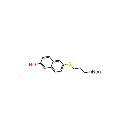 CCCCCCCCCCCCSc1ccc2cc(O)ccc2c1